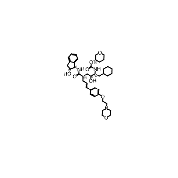 O=C(N[C@@H](CC1CCCCC1)[C@@H](O)C[C@@H](CC=Cc1ccc(OCCN2CCOCC2)cc1)C(=O)N[C@H]1c2ccccc2C[C@H]1O)O[C@H]1CCCOC1